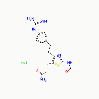 CC(=O)Nc1nc(CCc2ccc(NC(=N)N)cc2)c(CCC(N)=O)s1.Cl